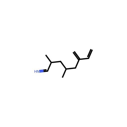 C=CC(=C)CC(C)CC(C)C=N